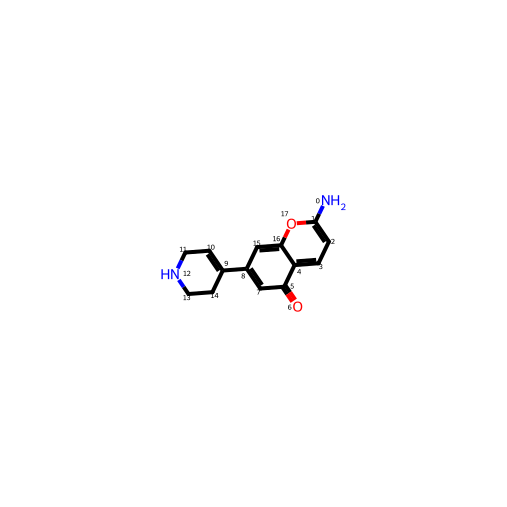 Nc1ccc2c(=O)cc(C3=CCNCC3)cc-2o1